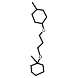 CC1CCC(OCCCOC2(C)CCCCC2)CC1